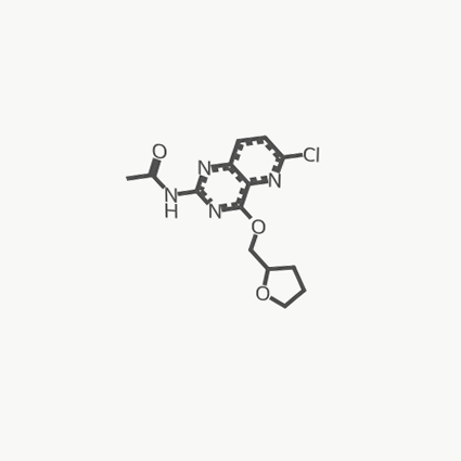 CC(=O)Nc1nc(OCC2CCCO2)c2nc(Cl)ccc2n1